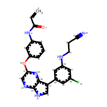 C=CC(=O)Nc1cccc(Oc2cnc3[nH]cc(-c4cc(F)cc(NCCC#N)c4)c3n2)c1